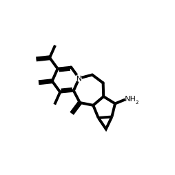 C=C(C)C1=CN2CCC3C(N)C4CC4C3C(=C)C2=C(C)C1=C